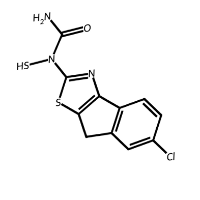 NC(=O)N(S)c1nc2c(s1)Cc1cc(Cl)ccc1-2